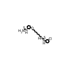 NC(=S)Nc1cccc(OCCCCCCCCNC(=S)Nc2cccc(Cl)c2)c1